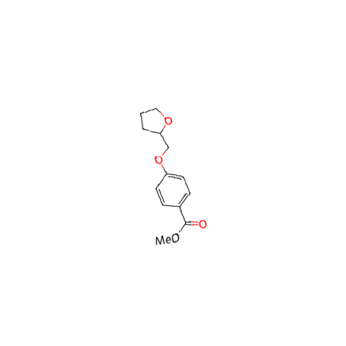 COC(=O)c1ccc(OCC2CCCO2)cc1